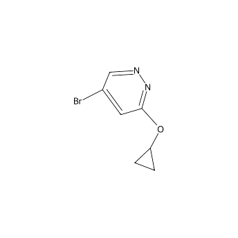 Brc1cnnc(OC2CC2)c1